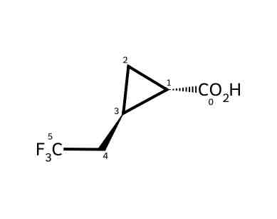 O=C(O)[C@H]1C[C@@H]1CC(F)(F)F